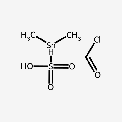 O=CCl.[CH3][SnH]([CH3])[S](=O)(=O)O